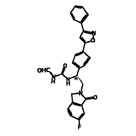 O=CNC(=O)N[C@@H](CN1Cc2ccc(F)cc2C1=O)c1ccc(-c2cc(-c3ccccc3)no2)cc1